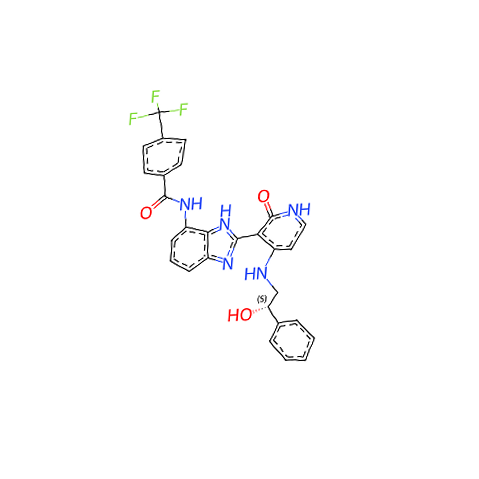 O=C(Nc1cccc2nc(-c3c(NC[C@@H](O)c4ccccc4)cc[nH]c3=O)[nH]c12)c1ccc(C(F)(F)F)cc1